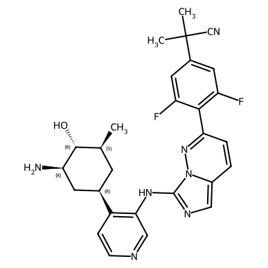 C[C@H]1C[C@@H](c2ccncc2Nc2ncc3ccc(-c4c(F)cc(C(C)(C)C#N)cc4F)nn23)C[C@@H](N)[C@@H]1O